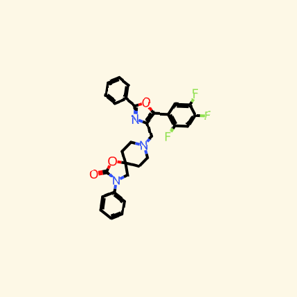 O=C1OC2(CCN(Cc3nc(-c4ccccc4)oc3-c3cc(F)c(F)cc3F)CC2)CN1c1ccccc1